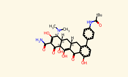 CN(C)[C@H]1C(O)=C(C(N)=O)C(=O)[C@@]2(O)C(O)=C3C(=O)c4c(O)ccc(-c5ccc(NC(=O)C(C)(C)C)cc5)c4C[C@H]3C[C@@H]12